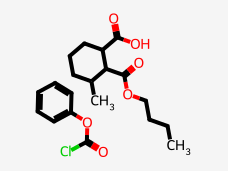 CCCCOC(=O)C1C(C)CCCC1C(=O)O.O=C(Cl)Oc1ccccc1